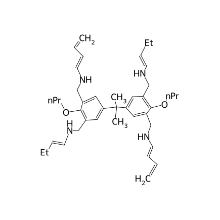 C=CC=CNCc1cc(C(C)(C)c2cc(CNC=CC=C)c(OCCC)c(CNC=CCC)c2)cc(CNC=CCC)c1OCCC